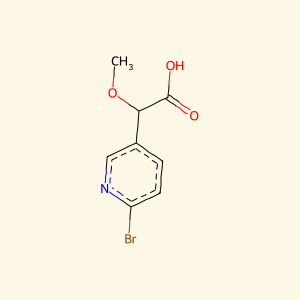 COC(C(=O)O)c1ccc(Br)nc1